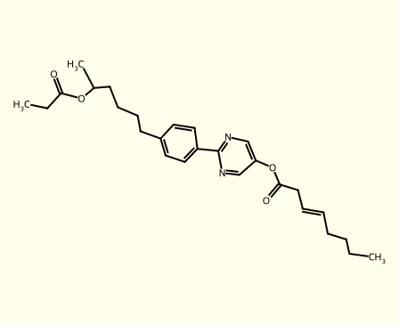 CCCCC=CCC(=O)Oc1cnc(-c2ccc(CCCCC(C)OC(=O)CC)cc2)nc1